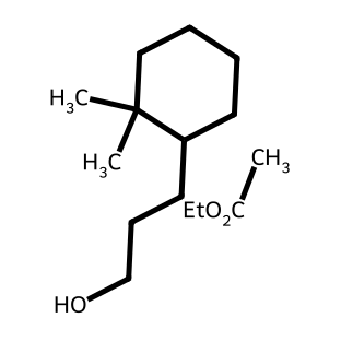 CC1(C)CCCCC1CCCO.CCOC(C)=O